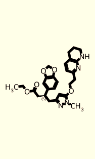 CCOC(=O)C[C@H](Cc1cc(OCCc2ccc3c(n2)NCCC3)n(C)n1)c1ccc2c(c1)OCO2